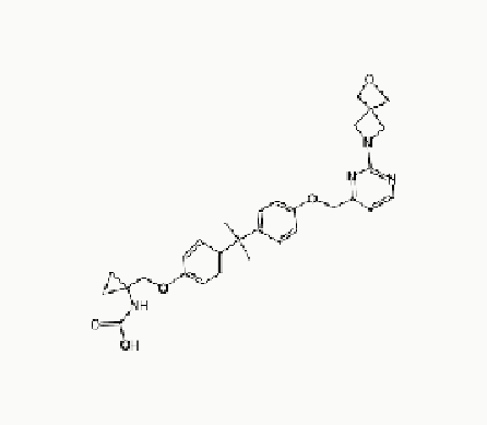 CC(C)(c1ccc(OCc2ccnc(N3CC4(COC4)C3)n2)cc1)c1ccc(OCC2(NC(=O)O)CC2)cc1